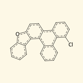 Clc1cccc2c3ccc4oc5ccccc5c4c3c3ccccc3c12